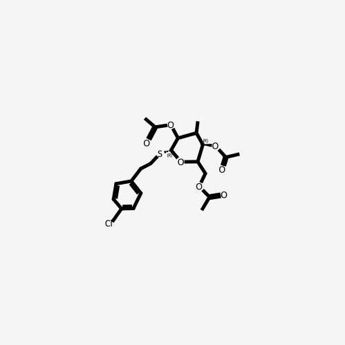 CC(=O)OCC1O[C@H](SCCc2ccc(Cl)cc2)C(OC(C)=O)C(C)[C@H]1OC(C)=O